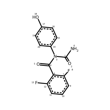 NC(=O)N(C(=O)c1c(F)cccc1F)c1ccc(O)cc1